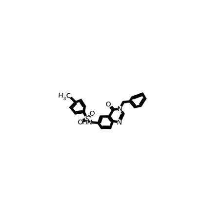 Cc1ccc(S(=O)(=O)Nc2ccc3ncn(Cc4ccccc4)c(=O)c3c2)cc1